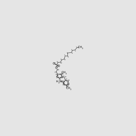 CCCCCCCCCCCCS(=O)(=O)OCCc1sc[n+](Cc2cnc(C)nc2N)c1C